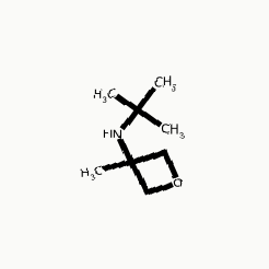 CC(C)(C)NC1(C)COC1